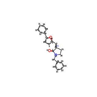 O=C1/C(=C\c2ccc(-c3ccccc3)o2)CCN1Cc1ccccc1